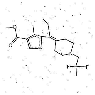 CCC(=C1CCN(CC(C)(F)F)CC1)c1scc(C(=O)OC)c1C